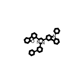 c1ccc(-c2cccc(-c3nc(-c4ccc5c(c4)c4ccccc4n5-c4ccccc4)cc(-c4cccc5c4oc4ccccc45)n3)c2)cc1